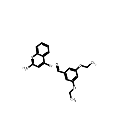 CCOc1cc(C=O)cc(OCC)c1.Nc1cc(Br)c2ccccc2n1